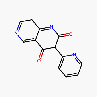 O=C1N=C2CC=NC=C2C(=O)C1c1ccccn1